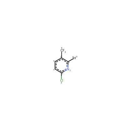 [2H]c1nc(Cl)ccc1C(F)(F)F